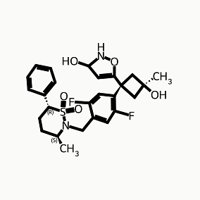 C[C@H]1CC[C@H](c2ccccc2)S(=O)(=O)N1Cc1cc(F)c([C@]2(C3=CC(O)NO3)C[C@](C)(O)C2)cc1F